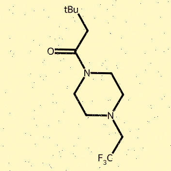 CC(C)(C)CC(=O)N1CCN(CC(F)(F)F)CC1